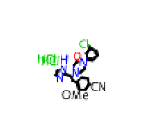 COc1cc(CC(c2ncc[nH]2)N2CCN(c3cccc(Cl)c3)C(=O)C2)ccc1C#N.Cl.Cl